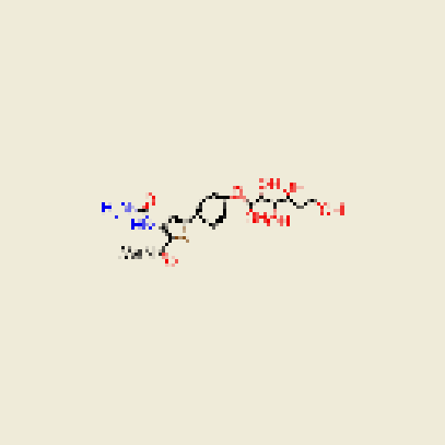 CNC(=O)c1sc(-c2ccc(OC(O)C(O)C(O)C(O)CCO)cc2)cc1NC(N)=O